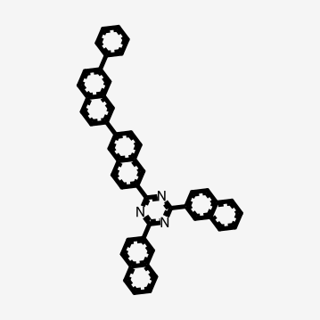 c1ccc(-c2ccc3ccc(-c4ccc5cc(-c6nc(-c7ccc8ccccc8c7)nc(-c7ccc8ccccc8c7)n6)ccc5c4)cc3c2)cc1